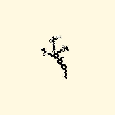 C=C(C)C(=O)OCCCc1cc(-c2ccc(C3CCC(CCCCC)CC3)cc2CC)cc(CCCOC(=O)C(=C)C)c1OCCCCOC(=O)C(=C)CO